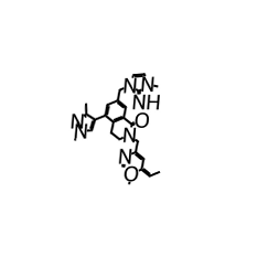 C=N/C(=C\C(=C/C)OC)CN1CCc2c(cc(Cn3ccn(C)c3=N)cc2-c2cn(C)nc2C)C1=O